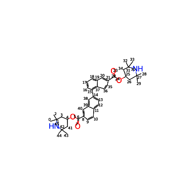 CC1(C)CC(OC(=O)c2ccc3ccc(-c4cccc5cc(C(=O)OC6CC(C)(C)NC(C)(C)C6)ccc45)cc3c2)CC(C)(C)N1